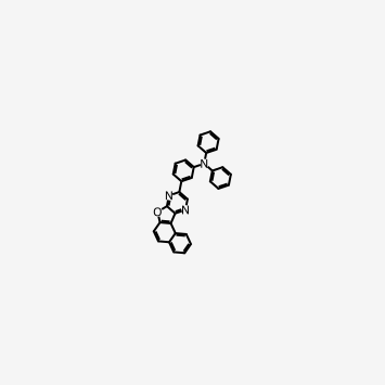 c1ccc(N(c2ccccc2)c2cccc(-c3cnc4c(n3)oc3ccc5ccccc5c34)c2)cc1